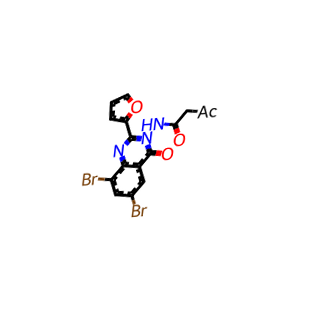 CC(=O)CC(=O)Nn1c(-c2ccco2)nc2c(Br)cc(Br)cc2c1=O